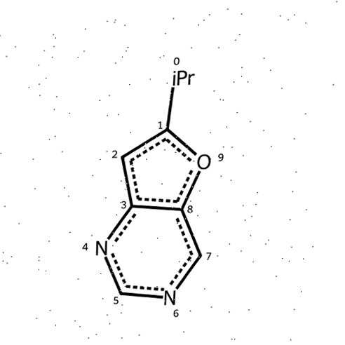 CC(C)c1cc2ncncc2o1